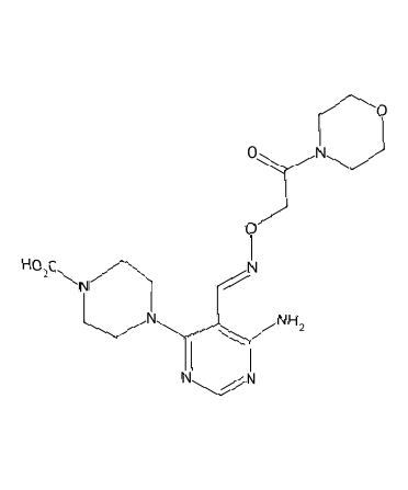 Nc1ncnc(N2CCN(C(=O)O)CC2)c1/C=N/OCC(=O)N1CCOCC1